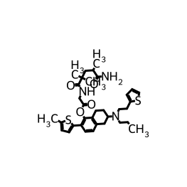 CCCN(CCc1cccs1)C1CCc2c(ccc(-c3ccc(C)s3)c2OC(=O)CNC(=O)C(C)(C)CC(C)C(N)=O)C1